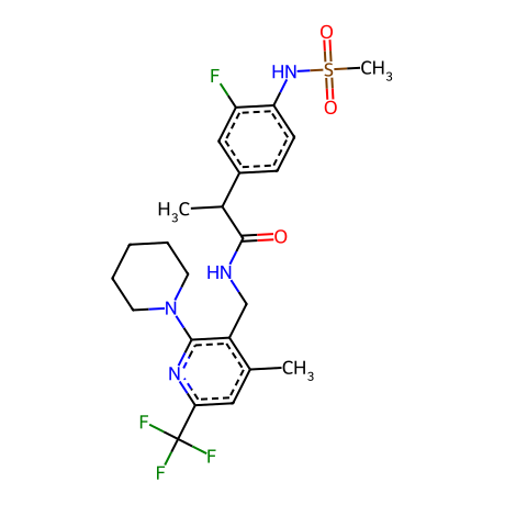 Cc1cc(C(F)(F)F)nc(N2CCCCC2)c1CNC(=O)C(C)c1ccc(NS(C)(=O)=O)c(F)c1